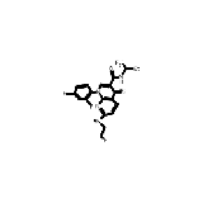 CCC(NC(=O)c1cn(-c2ccc(F)cc2F)c2nc(N(C)CCF)ccc2c1=O)C(F)(F)F